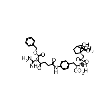 CC1(C)C2CC[C@@]1(CS(=O)(=O)N[C@@H](Cc1ccc(NC(=O)CCC(=O)N(C(=N)N)C(=O)OCc3ccccc3)cc1)C(=O)O)C(=O)C2